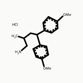 COc1ccc(C(CC(C)CN)c2ccc(OC)cc2)cc1.Cl